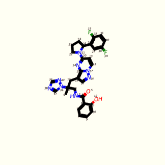 CC(CNC(=O)c1ccccc1O)(Cc1cnn2ccc(N3CCCC3c3cc(F)ccc3F)nc12)n1cncn1